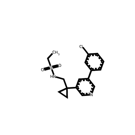 CCS(=O)(=O)NCC1(c2cncc(-c3cccc(Cl)c3)c2)CC1